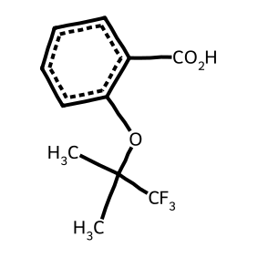 CC(C)(Oc1ccccc1C(=O)O)C(F)(F)F